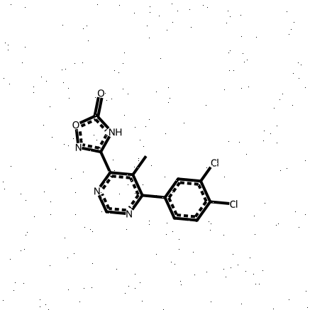 Cc1c(-c2ccc(Cl)c(Cl)c2)ncnc1-c1noc(=O)[nH]1